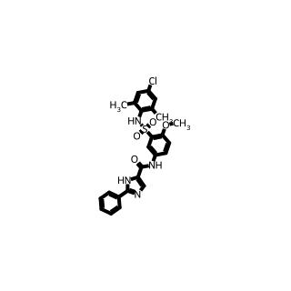 COc1ccc(NC(=O)c2cnc(-c3ccccc3)[nH]2)cc1S(=O)(=O)Nc1c(C)cc(Cl)cc1C